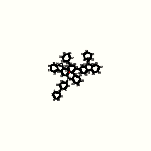 c1ccc(-c2ccc(N(c3ccc4oc5ccccc5c4c3)c3ccccc3-c3ccc(-c4ccccc4)cc3-c3ccc4c5ccccc5n(-c5ccccc5)c4c3)cc2)cc1